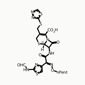 CCCCCON=C(C(=O)NC1C(=O)N2C(C(=O)O)=C(CSc3nncs3)CS[C@@H]12)c1csc(NC=O)n1